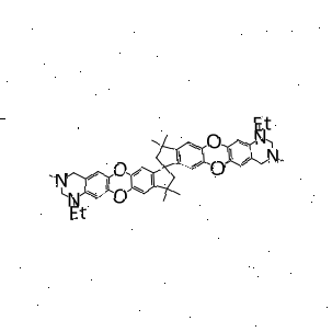 CCN1CN(C)Cc2cc3c(cc21)Oc1cc2c(cc1O3)C1(CC2(C)C)CC(C)(C)c2cc3c(cc21)Oc1cc2c(cc1O3)N(CC)CN(C)C2